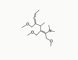 CC=C=C(COC)C(C)/C(COC)=C(/COC)N(C)C